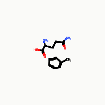 Cc1ccccc1.NC(=O)CC[C@H](N)C(=O)O